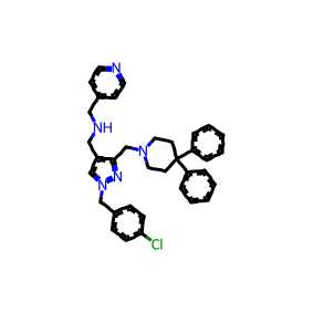 Clc1ccc(Cn2cc(CNCc3ccncc3)c(CN3CCC(c4ccccc4)(c4ccccc4)CC3)n2)cc1